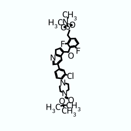 CCN(C)S(=O)(=O)CCc1ccc(F)c(C(=O)C2=CCc3ncc(-c4ccc(N5CCN(C(=O)OC(C)(C)C)CC5)c(Cl)c4)cc32)c1F